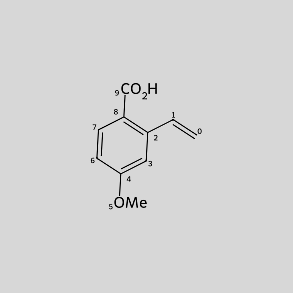 C=Cc1cc(OC)ccc1C(=O)O